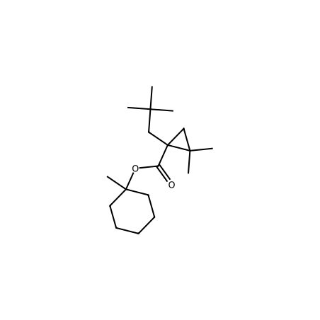 CC(C)(C)CC1(C(=O)OC2(C)CCCCC2)CC1(C)C